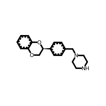 c1ccc2c(c1)OC[C@H](c1ccc(CN3CCNCC3)cc1)O2